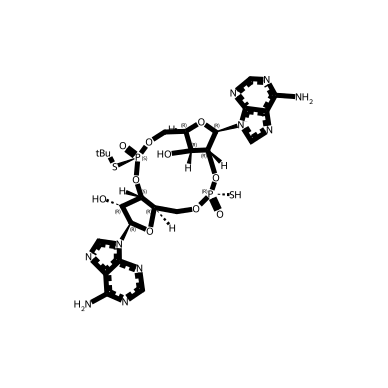 CC(C)(C)S[P@@]1(=O)OC[C@H]2O[C@@H](n3cnc4c(N)ncnc43)[C@H](O[P@](=O)(S)OC[C@H]3O[C@@H](n4cnc5c(N)ncnc54)[C@H](O)[C@@H]3O1)[C@@H]2O